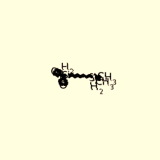 CC(C)=C[SiH2]CCCCCCCC[SiH2]C(N1CCOCC1)N1CCOCC1